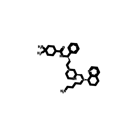 NCCCCN(C[C@@H]1CN(CC[C@H](NC(=O)C2CCC(P)(P)CC2)c2ccccc2)CCN1)[C@H]1CCCc2cccnc21